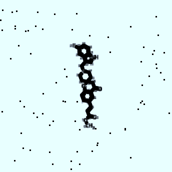 COC(=O)C=Cc1ccc2c(c1)C(=O)CC1(CCN(Cc3c[nH]c4ccc(F)cc34)CC1)O2